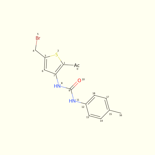 CC(=O)c1sc(CBr)cc1NC(=O)Nc1ccc(C)cc1